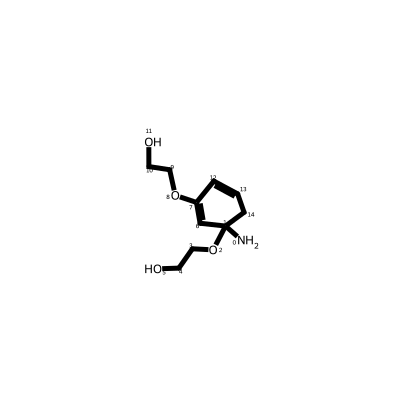 NC1(OCCO)C=C(OCCO)C=CC1